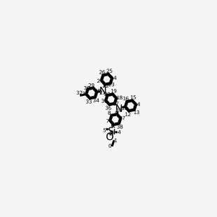 CCO[Si](C)(C)c1ccc(N(c2ccccc2)c2ccc(N(c3ccccc3)c3ccc(C)cc3)cc2)cc1